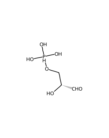 O=C[C@H](O)CO[PH](O)(O)O